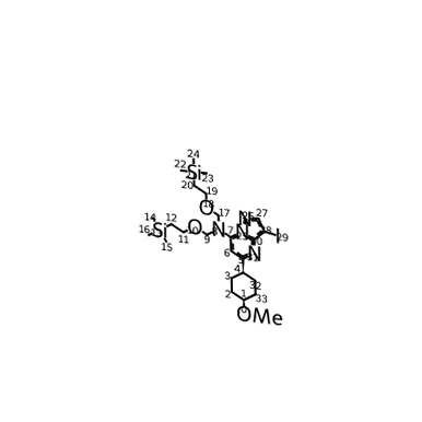 CO[C@H]1CC[C@@H](c2cc(N(COCC[Si](C)(C)C)COCC[Si](C)(C)C)n3ncc(I)c3n2)CC1